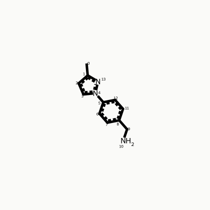 Cc1ccn(-c2ccc(CN)cc2)n1